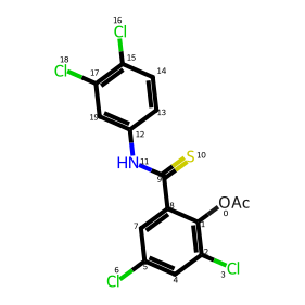 CC(=O)Oc1c(Cl)cc(Cl)cc1C(=S)Nc1ccc(Cl)c(Cl)c1